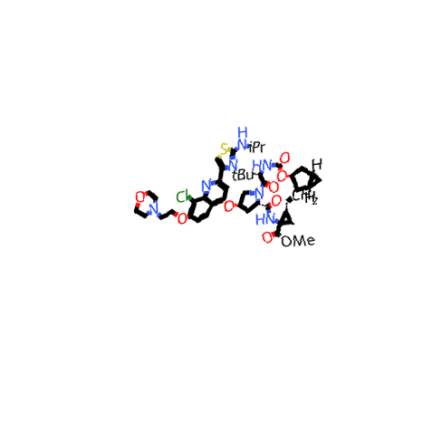 C=C[C@@H]1CC1(NC(=O)[C@@H]1C[C@@H](Oc2cc(-c3csc(NC(C)C)n3)nc3c(Cl)c(OCCN4CCOCC4)ccc23)CN1C(=O)[C@@H](NC(=O)O[C@@H]1C[C@@H]2C[C@@H]2C1)C(C)(C)C)C(=O)OC